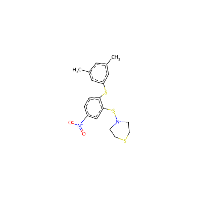 Cc1cc(C)cc(Sc2ccc([N+](=O)[O-])cc2SN2CCSCC2)c1